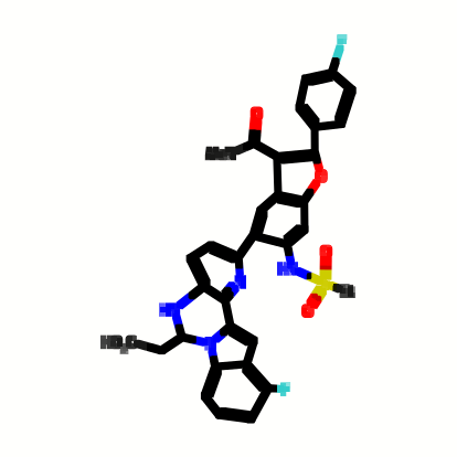 CCS(=O)(=O)Nc1cc2oc(-c3ccc(F)cc3)c(C(=O)NC)c2cc1-c1ccc2c(n1)-c1cc3c(F)cccc3n1C(CC(=O)O)N2